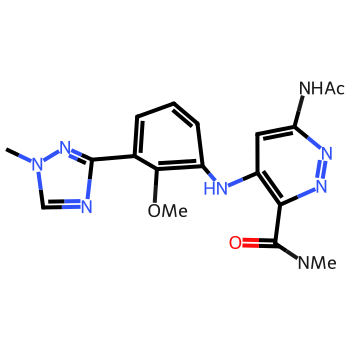 [CH2]C(=O)Nc1cc(Nc2cccc(-c3ncn(C)n3)c2OC)c(C(=O)NC)nn1